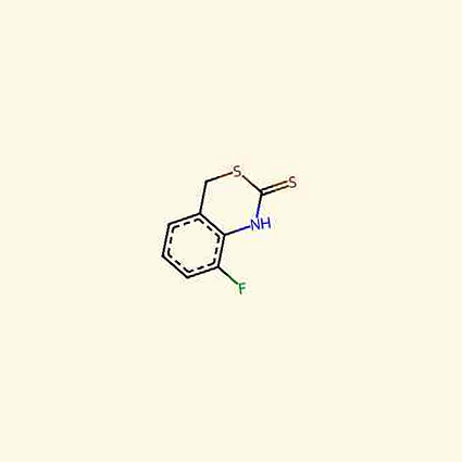 Fc1cccc2c1NC(=S)SC2